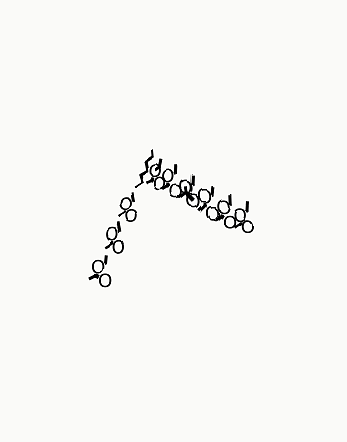 CCCCCCC.CCOC(C)=O.CCOC(C)=O.CCOC(C)=O.CCOC(C)=O.CCOC(C)=O.CCOC(C)=O.CCOC(C)=O.CCOC(C)=O.CCOC(C)=O